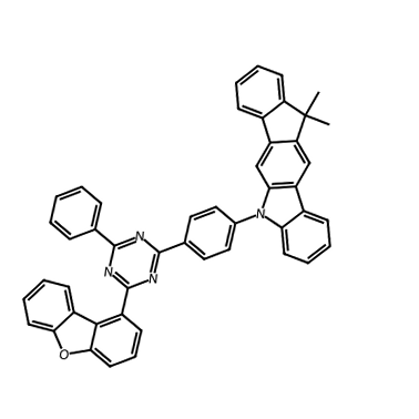 CC1(C)c2ccccc2-c2cc3c(cc21)c1ccccc1n3-c1ccc(-c2nc(-c3ccccc3)nc(-c3cccc4oc5ccccc5c34)n2)cc1